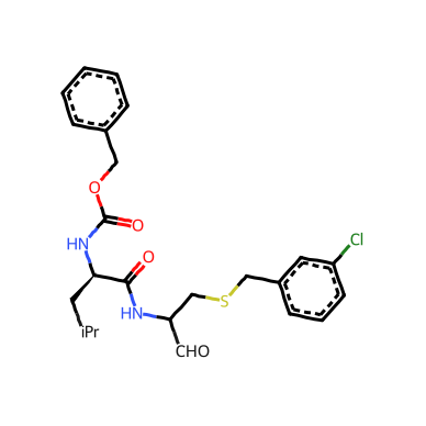 CC(C)C[C@@H](NC(=O)OCc1ccccc1)C(=O)NC(C=O)CSCc1cccc(Cl)c1